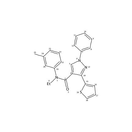 CCN(C(=O)c1cn(-c2ccccc2)nc1-c1cccs1)c1cccc(C)c1